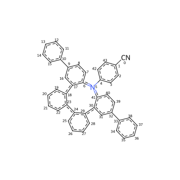 N#Cc1ccc(-n2c3ccc(-c4ccccc4)cc3c3ccccc3c3ccccc3c3cc(-c4ccccc4)ccc32)cc1